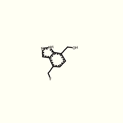 OCc1ccc(CF)c2cn[nH]c12